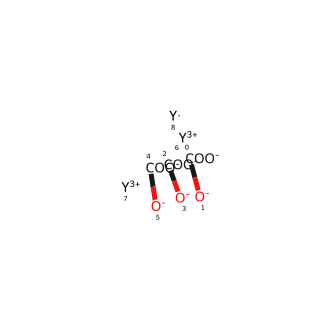 O=C([O-])[O-].O=C([O-])[O-].O=C([O-])[O-].[Y+3].[Y+3].[Y]